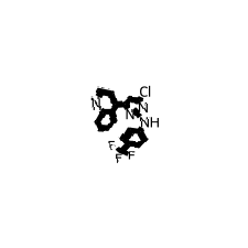 FC(F)(F)c1ccc(Nc2nc(Cl)cc(-c3ccnc4ccccc34)n2)cc1